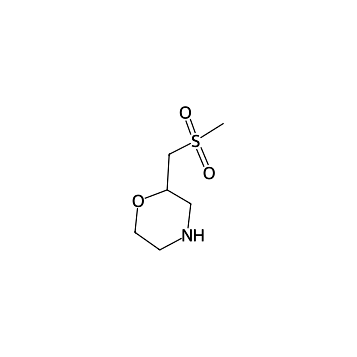 CS(=O)(=O)CC1CNCCO1